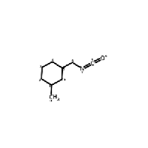 CC1CCCC(CN=C=O)C1